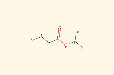 CCCC(=O)O[C](C)C